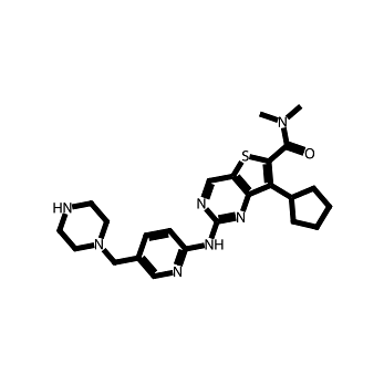 CN(C)C(=O)c1sc2cnc(Nc3ccc(CN4CCNCC4)cn3)nc2c1C1CCCC1